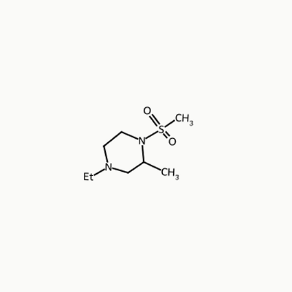 CCN1CCN(S(C)(=O)=O)C(C)C1